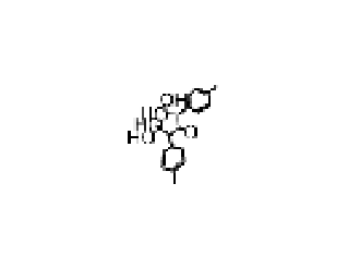 Cc1ccc(C(C(=O)C(c2ccc(C)cc2)C(O)O)C(O)O)cc1